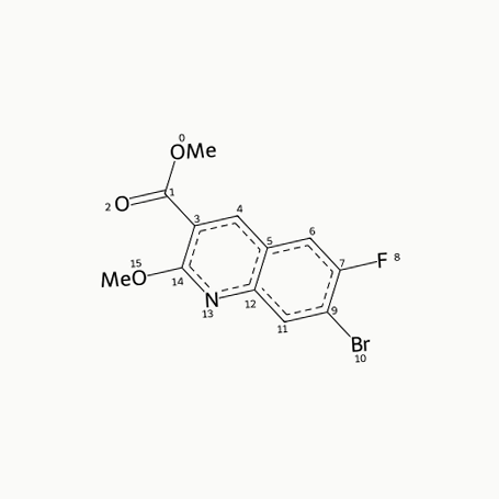 COC(=O)c1cc2cc(F)c(Br)cc2nc1OC